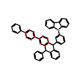 c1ccc(-c2ccc(-c3ccc4c(c3)C3(c5ccccc5)c5ccccc5C4(c4cccc(-n5c6ccccc6c6ccccc65)c4)c4ccc(-c5ccccc5)cc43)cc2)cc1